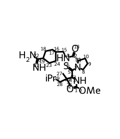 COC(=O)N[C@H](C(=S)N1CCC[C@H]1C(=O)NCC1CCC(C(=N)N)CC1)C(C)(C)CC(C)C